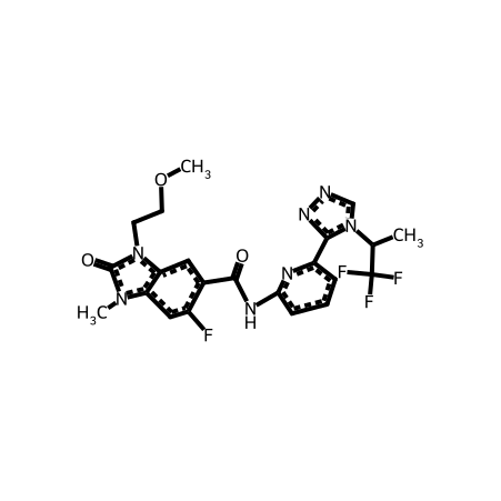 COCCn1c(=O)n(C)c2cc(F)c(C(=O)Nc3cccc(-c4nncn4C(C)C(F)(F)F)n3)cc21